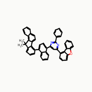 CC1(C)c2cccc(-c3ccc(-c4cc(-c5cccc6oc7ccccc7c56)nc(-c5ccccc5)n4)c4ccccc34)c2-c2ccc3ccccc3c21